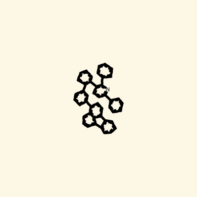 c1ccc(-c2ccc(-c3ccccc3-c3cccc(-c4ccc5c6c(cccc46)-c4ccccc4-5)c3)c(-c3ccccc3)n2)cc1